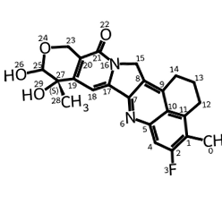 Cc1c(F)cc2nc3c(c4c2c1CCC4)Cn1c-3cc2c(c1=O)COC(O)[C@@]2(C)O